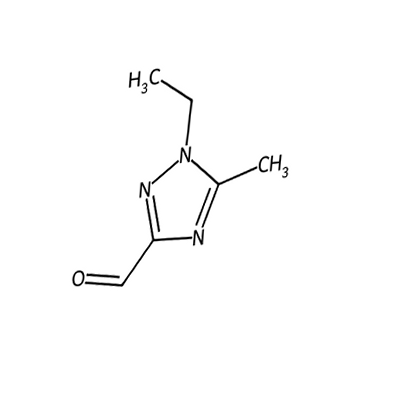 CCn1nc(C=O)nc1C